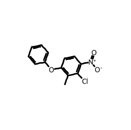 Cc1c(Oc2ccccc2)ccc([N+](=O)[O-])c1Cl